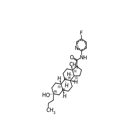 CCC[C@@]1(O)CC[C@H]2[C@H](CC[C@@H]3[C@@H]2CC[C@]2(C)[C@@H](C(=O)Nc4ccc(F)cn4)CC[C@@H]32)C1